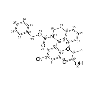 CC(Oc1ccc(Cl)cc1[C@H]1c2ccccc2CCN1C(=O)OCc1ccccc1)C(=O)O